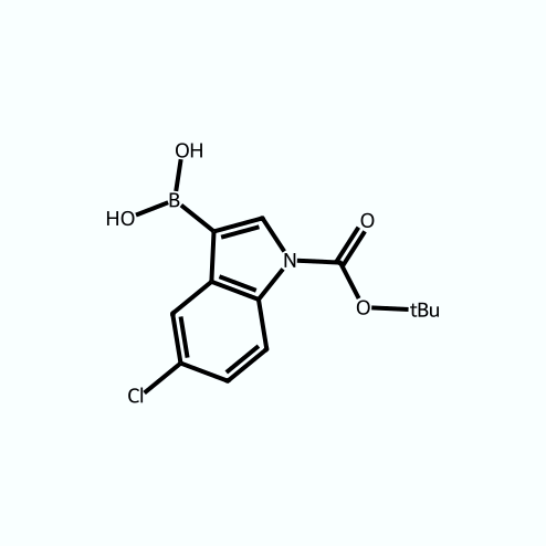 CC(C)(C)OC(=O)n1cc(B(O)O)c2cc(Cl)ccc21